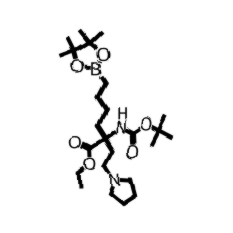 CCOC(=O)C(CCCCB1OC(C)(C)C(C)(C)O1)(CCN1CCCC1)NC(=O)OC(C)(C)C